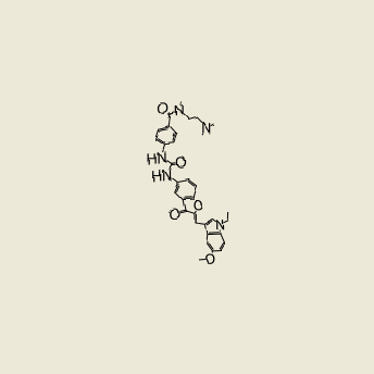 CCn1cc(C=C2Oc3ccc(NC(=O)Nc4ccc(C(=O)N(C)CCN(C)C)cc4)cc3C2=O)c2cc(OC)ccc21